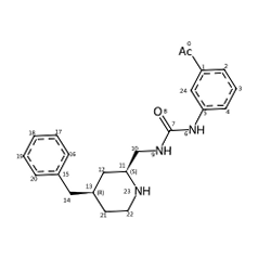 CC(=O)c1cccc(NC(=O)NC[C@@H]2C[C@H](Cc3ccccc3)CCN2)c1